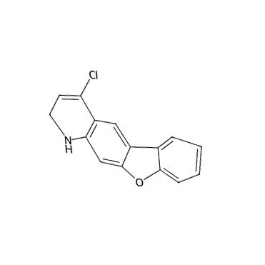 ClC1=CCNc2cc3oc4ccccc4c3cc21